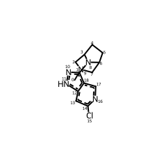 CN1CC2CCC(C1)N2c1n[nH]c2cc(Cl)ncc12